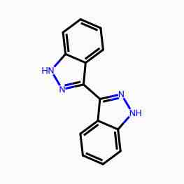 c1ccc2c(-c3n[nH]c4ccccc34)n[nH]c2c1